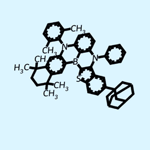 Cc1cccc(C)c1N1c2cc3c(cc2B2c4sc5ccc(C67CC8CC(CC(C8)C6)C7)cc5c4N(c4ccccc4)c4cccc1c42)C(C)(C)CCC3(C)C